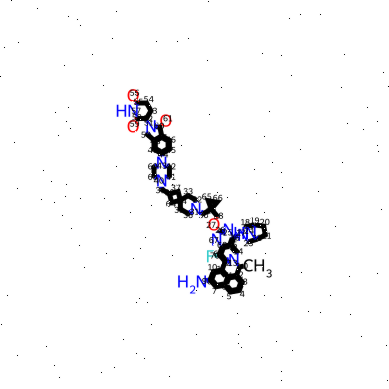 CCc1cccc2cc(N)cc(-c3ncc4c(N5CC6CCC(C5)N6)nc(OCC5(CN6CCC7(CC6)CC(CN6CCN(c8ccc9c(c8)CN([C@H]8CCC(=O)NC8=O)C9=O)CC6)C7)CC5)nc4c3F)c12